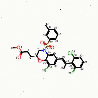 COC(=O)CC[C@H]1CN(S(=O)(=O)c2cccc(C)c2)c2cc(/C=C(\C)c3c(F)cccc3Cl)cc(F)c2O1